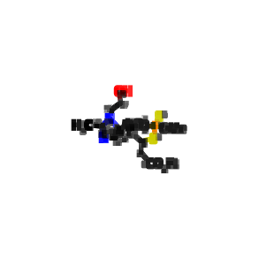 CCOC(=O)CC(SP(=S)(OC)OC)C(=O)OCC.Cc1ncc([N+](=O)[O-])n1CCO